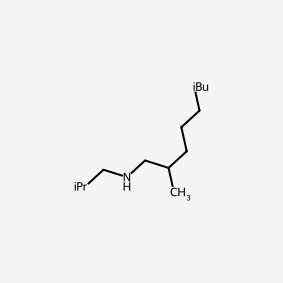 CCC(C)CCCC(C)CNCC(C)C